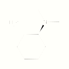 CN(C)[C@H]1CCCC[C@@H]1P